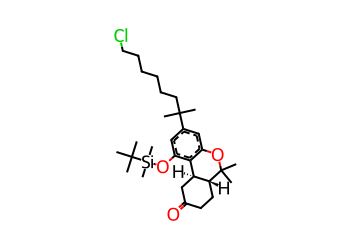 CC(C)(CCCCCCCl)c1cc2c(c(O[Si](C)(C)C(C)(C)C)c1)[C@@H]1CC(=O)CC[C@H]1C(C)(C)O2